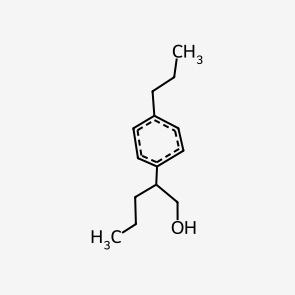 CCCc1ccc(C(CO)CCC)cc1